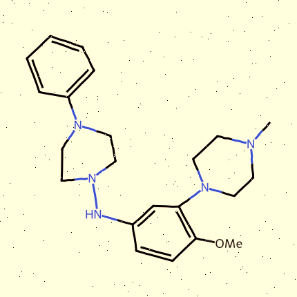 COc1ccc(NN2CCN(c3ccccc3)CC2)cc1N1CCN(C)CC1